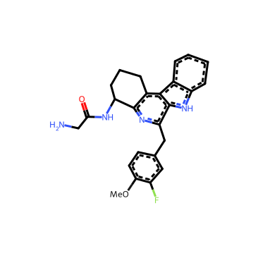 COc1ccc(Cc2nc3c(c4c2[nH]c2ccccc24)CCCC3NC(=O)CN)cc1F